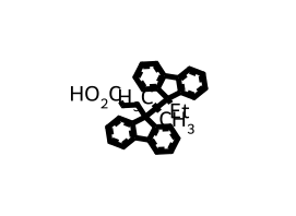 CCC1(C(C)(C)C2(CCC(=O)O)c3ccccc3-c3ccccc32)c2ccccc2-c2ccccc21